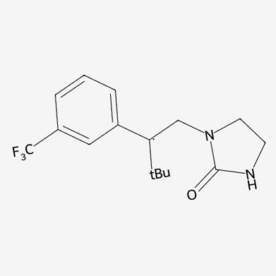 CC(C)(C)[C](CN1CCNC1=O)c1cccc(C(F)(F)F)c1